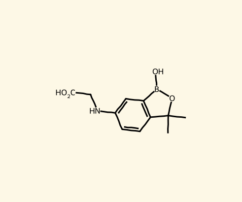 CC1(C)OB(O)c2cc(NCC(=O)O)ccc21